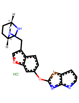 Cl.c1cnc2nc(Oc3ccc4c(CN5C[C@@H]6CC[C@H]5CN6)coc4c3)sc2c1